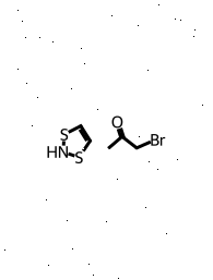 C1=CSNS1.CC(=O)CBr